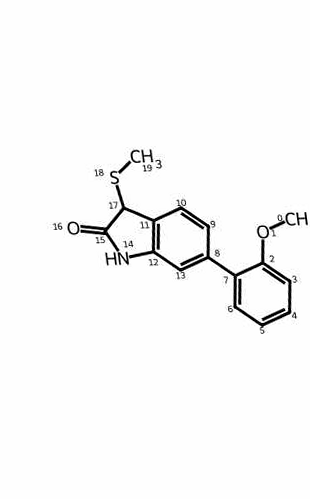 COc1ccccc1-c1ccc2c(c1)NC(=O)C2SC